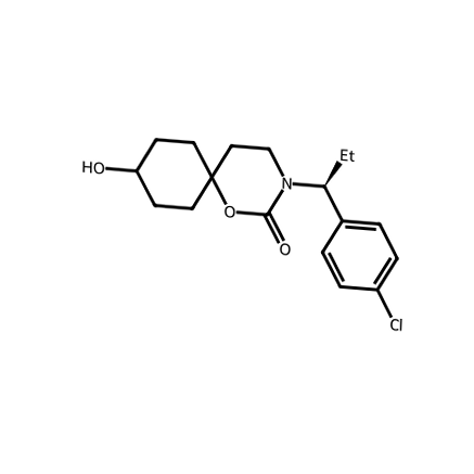 CC[C@@H](c1ccc(Cl)cc1)N1CCC2(CCC(O)CC2)OC1=O